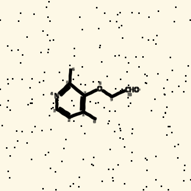 Cc1ccnc(C)c1OC[C]=O